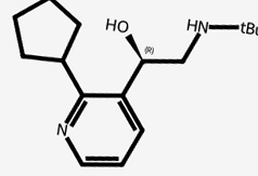 CC(C)(C)NC[C@H](O)c1cccnc1C1CCCC1